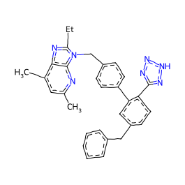 CCc1nc2c(C)cc(C)nc2n1Cc1ccc(-c2cc(Cc3ccccc3)ccc2-c2nn[nH]n2)cc1